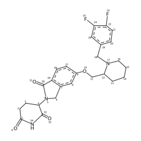 O=C1CCC(N2Cc3cc(OCC4CCCCN4Cc4ccc(F)c(F)c4)ccc3C2=O)C(=O)N1